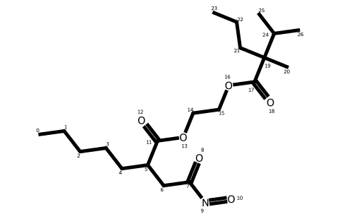 CCCCCC(CC(=O)N=O)C(=O)OCCOC(=O)C(C)(CCC)C(C)C